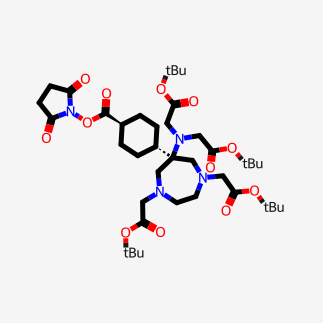 CC(C)(C)OC(=O)CN1CCN(CC(=O)OC(C)(C)C)CC([C@H]2CC[C@H](C(=O)ON3C(=O)CCC3=O)CC2)(N(CC(=O)OC(C)(C)C)CC(=O)OC(C)(C)C)C1